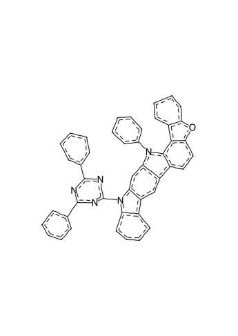 c1ccc(-c2nc(-c3ccccc3)nc(-n3c4ccccc4c4cc5c6ccc7oc8ccccc8c7c6n(-c6ccccc6)c5cc43)n2)cc1